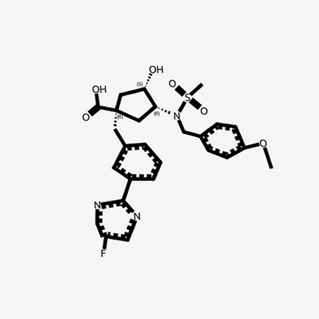 COc1ccc(CN([C@@H]2C[C@@](Cc3cccc(-c4ncc(F)cn4)c3)(C(=O)O)C[C@@H]2O)S(C)(=O)=O)cc1